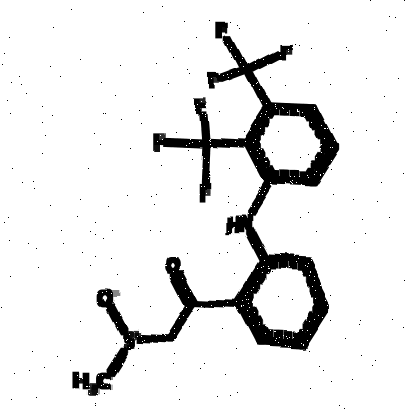 C[S+]([O-])CC(=O)c1ccccc1Nc1cccc(C(F)(F)F)c1C(F)(F)F